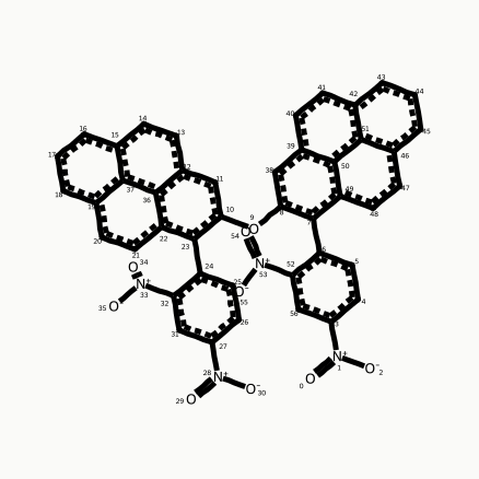 O=[N+]([O-])c1ccc(-c2c(Oc3cc4ccc5cccc6ccc(c3-c3ccc([N+](=O)[O-])cc3[N+](=O)[O-])c4c56)cc3ccc4cccc5ccc2c3c45)c([N+](=O)[O-])c1